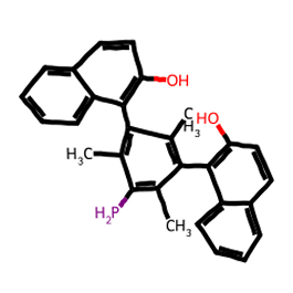 Cc1c(P)c(C)c(-c2c(O)ccc3ccccc23)c(C)c1-c1c(O)ccc2ccccc12